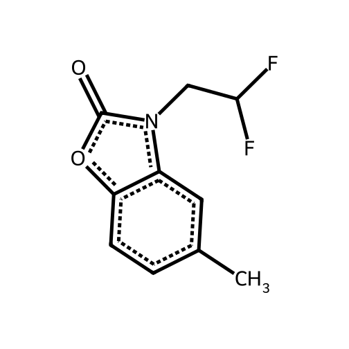 Cc1ccc2oc(=O)n(CC(F)F)c2c1